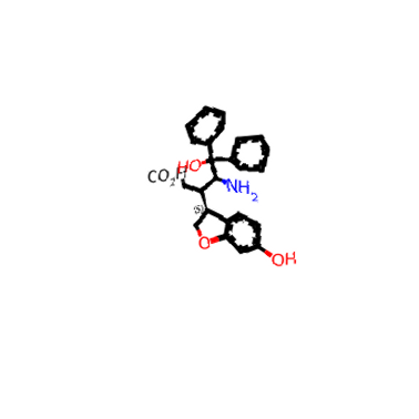 NC(C(CC(=O)O)[C@@H]1COc2cc(O)ccc21)C(O)(c1ccccc1)c1ccccc1